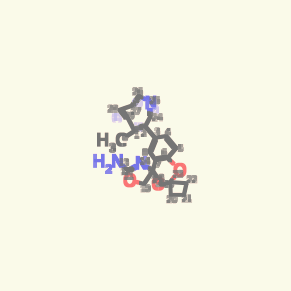 CC1=C(c2ccc3c(c2)C2(COC(N)=N2)C2(COC2)C2(CCC2)O3)/C=N\C=C\C=C\1